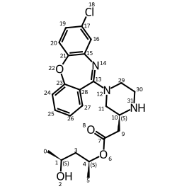 C[C@H](O)C[C@H](C)OC(=O)C[C@H]1CN(C2=Nc3cc(Cl)ccc3Oc3ccccc32)CCN1